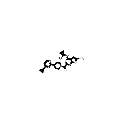 Cc1cc2c(NC3(C)CC3)nc(C(=O)N3CCC(c4nccc(C5CC5)n4)CC3)nc2o1